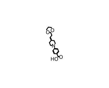 O=C(O)c1ccc(N2CCC(=CCC3OCCCO3)CC2)cc1